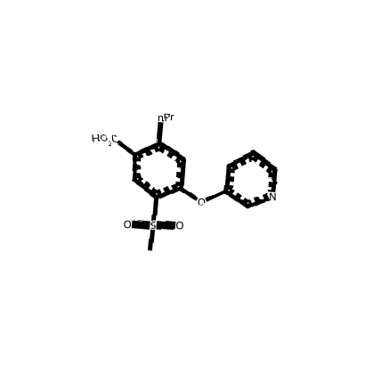 CCCc1cc(Oc2cccnc2)c(S(C)(=O)=O)cc1C(=O)O